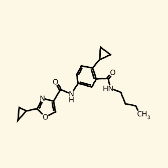 CCCCNC(=O)c1cc(NC(=O)c2coc(C3CC3)n2)ccc1C1CC1